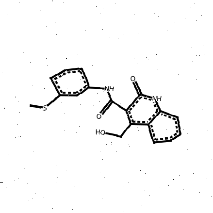 CSc1cccc(NC(=O)c2c(CO)c3ccccc3[nH]c2=O)c1